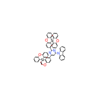 c1ccc2c(c1)Oc1ccccc1[Si]21c2ccccc2Oc2ccc(-c3cc(-n4c5ccccc5c5ccccc54)nc(-c4ccc5c(c4)[Si]4(c6ccccc6Oc6ccccc64)c4ccccc4O5)n3)cc21